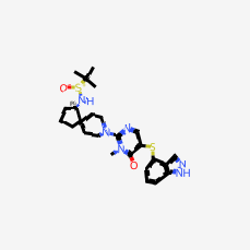 Cn1c(N2CCC3(CCC[C@H]3N[S+]([O-])C(C)(C)C)CC2)ncc(Sc2cccc3[nH]ncc23)c1=O